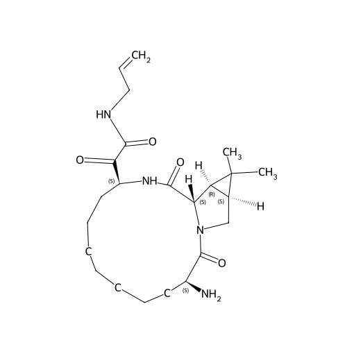 C=CCNC(=O)C(=O)[C@@H]1CCCCCCC[C@H](N)C(=O)N2C[C@H]3[C@@H]([C@H]2C(=O)N1)C3(C)C